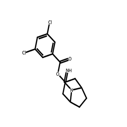 N=CN1C2CCC1CC(OC(=O)c1cc(Cl)cc(Cl)c1)C2